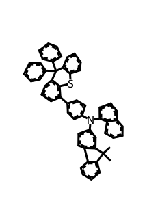 CC1(C)c2ccccc2-c2ccc(N(c3ccc(-c4cccc5c4Sc4ccccc4C5(c4ccccc4)c4ccccc4)cc3)c3cccc4ccccc34)cc21